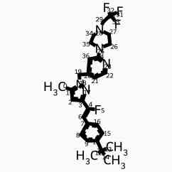 Cc1cc(C(F)=Cc2ccc(C(C)(C)C)cc2)nn1Cc1ccnc(N2CCN(CC(F)(F)F)CC2)c1